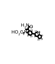 NC(=O)c1cn(CC(=O)O)c2ccc(-c3cnc4c(c3)CCC4)cc12